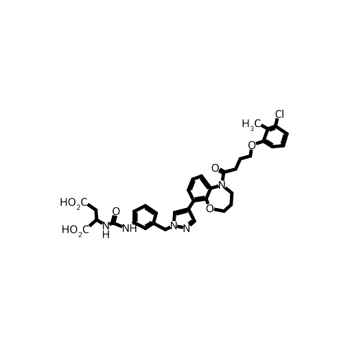 Cc1c(Cl)cccc1OCCCC(=O)N1CCCOc2c(-c3cnn(Cc4cccc(NC(=O)NC(CC(=O)O)C(=O)O)c4)c3)cccc21